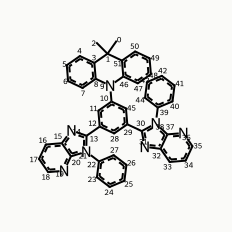 CC1(C)c2ccccc2N(c2cc(-c3nc4cccnc4n3-c3ccccc3)cc(-c3nc4cccnc4n3-c3ccccc3)c2)c2ccccc21